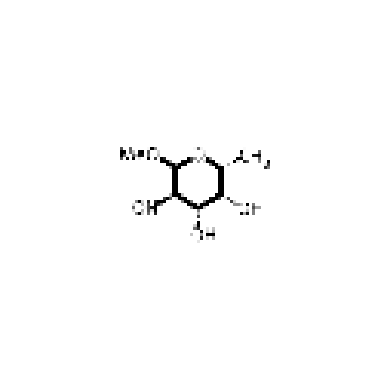 COC1O[C@H](C)[C@H](O)[C@H](O)[C@H]1N=O